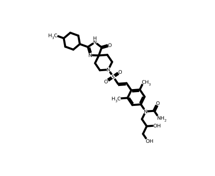 Cc1cc(N(CC(O)CO)C(N)=O)cc(C)c1C=CS(=O)(=O)N1CCC2(CC1)N=C(C1CCC(C)CC1)NC2=O